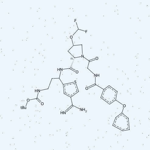 CC(C)(C)OC(=O)NCCC(NC(=O)[C@@H]1CC(OC(F)F)CN1C(=O)CNC(=O)c1ccc(Oc2ccccc2)cc1)c1cc(C(=N)N)cs1